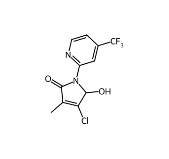 CC1=C(Cl)C(O)N(c2cc(C(F)(F)F)ccn2)C1=O